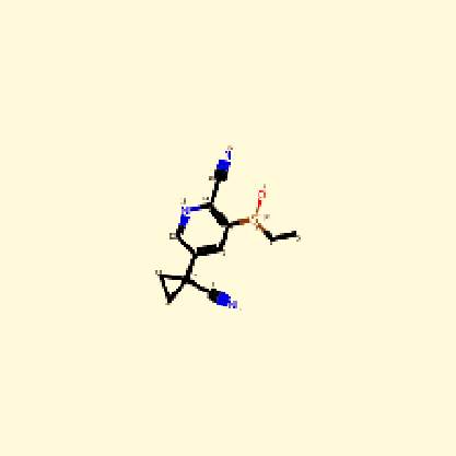 CC[S@+]([O-])c1cc(C2(C#N)CC2)cnc1C#N